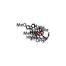 CC#C/C=C\C#C[C@H](OC1OC(C)C(SC)(C(=O)c2nccc3c2[nH]c2ccc(OC)cc23)C(O)C1OC1CC(OC)C(NC(C)C)CO1)C1=C(NC(=O)OC)C(=O)C[C@H](O)/C1=C/CS(C)(=S)=S